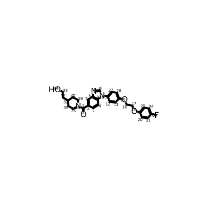 O=C(c1ccc2c(c1)ncn2-c1ccc(OCCOc2ccc(F)cc2)cc1)N1CCC(CCO)CC1